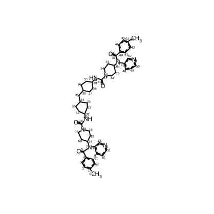 Cc1ccc(C(=O)N(c2cccnc2)C2CCN(C(=O)NC3CCC(CC4CCC(NC(=O)N5CCC(N(C(=O)c6ccc(C)cc6)c6cccnc6)CC5)CC4)CC3)CC2)cc1